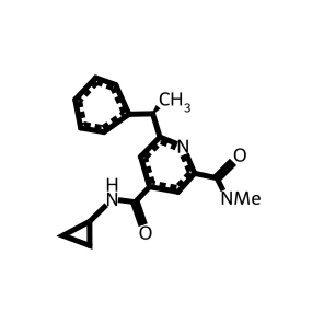 CNC(=O)c1cc(C(=O)NC2CC2)cc([C@H](C)c2ccccc2)n1